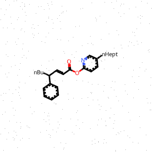 CCCCCCCc1ccc(OC(=O)/C=C/C(CCCC)c2ccccc2)nc1